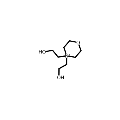 OCC[N+]1(CCO)CCOCC1